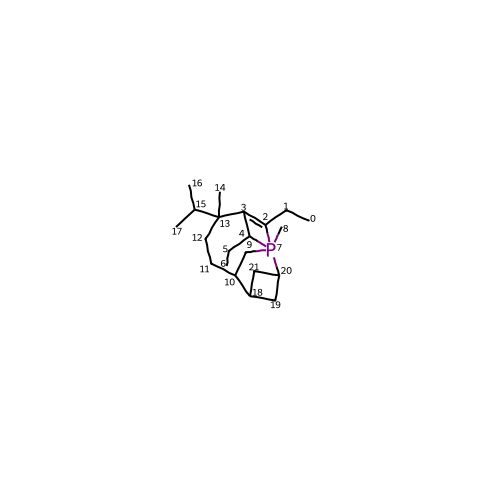 CCC1=C2C(CC)P13(C)CC(CCC2(C)C(C)C)C1CC3C1